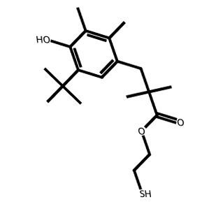 Cc1c(CC(C)(C)C(=O)OCCS)cc(C(C)(C)C)c(O)c1C